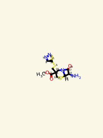 COC(=O)C1(CSc2cnns2)CS[C@@H]2C(N)C(=O)N2C1